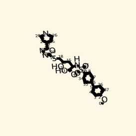 COc1ccc(-c2ccc(S(=O)(=O)NC(CC(O)CSc3nnc(-c4ccncc4)o3)C(=O)O)cc2)cc1